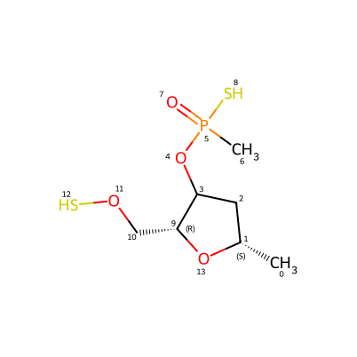 C[C@H]1CC(OP(C)(=O)S)[C@@H](COS)O1